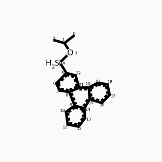 CC(C)O[SiH2]c1ccc2c3ccccc3c3ccccc3c2c1